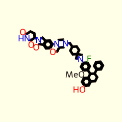 COc1cc(N2CC3(CCC(CN4CCN5c6cc7c(cc6OCC5C4)C(=O)N(C4CCC(=O)NC4=O)C7)CC3)C2)c(F)cc1C1c2ccc(O)cc2CCC1c1ccccc1